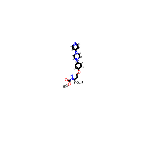 CC(C)(C)OC(=O)NC(CCOc1ccc(N2CCN(c3ccncc3)CC2)cc1)C(=O)O